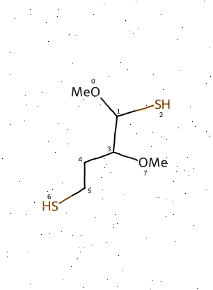 COC(S)C(CCS)OC